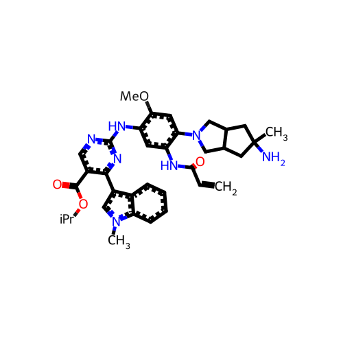 C=CC(=O)Nc1cc(Nc2ncc(C(=O)OC(C)C)c(-c3cn(C)c4ccccc34)n2)c(OC)cc1N1CC2CC(C)(N)CC2C1